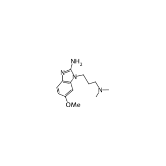 COc1ccc2nc(N)n(CCCN(C)C)c2c1